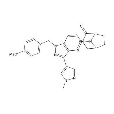 COc1ccc(Cn2nc(-c3cnn(C)c3)c3nc(N4C5CCC4C(=O)NC5)ccc32)cc1